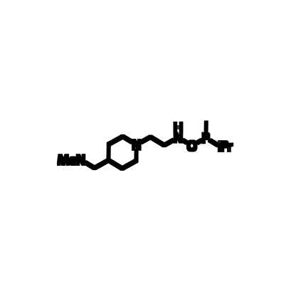 CNCC1CCN(CCNOP(C)C(C)C)CC1